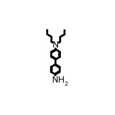 CCCCN(CCCC)c1ccc(-c2ccc(N)cc2)cc1